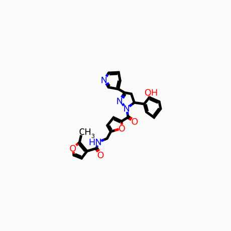 Cc1occc1C(=O)NCc1ccc(C(=O)N2N=C(c3cccnc3)CC2c2ccccc2O)o1